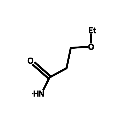 CCOCCC([NH])=O